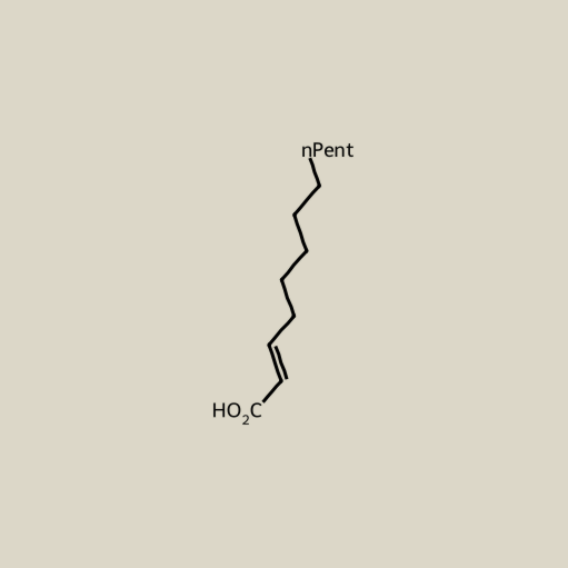 CCCCCCCCCCC=CC(=O)O